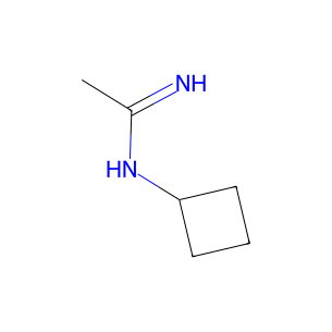 CC(=N)NC1CCC1